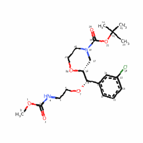 COC(=O)NCCO[C@@H](c1cccc(Cl)c1)[C@H]1CN(C(=O)OC(C)(C)C)CCO1